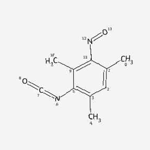 Cc1cc(C)c(N=C=O)c(C)c1N=O